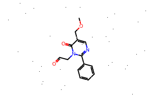 COCc1cnc(-c2ccccc2)n(CC=O)c1=O